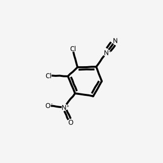 N#[N+]c1ccc([N+](=O)[O-])c(Cl)c1Cl